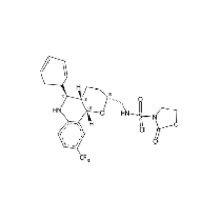 O=C1OCCN1S(=O)(=O)NC[C@H]1CC[C@@H]2[C@H](O1)c1cc(C(F)(F)F)ccc1N[C@H]2C1C=CC=CC1